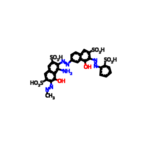 CN=Nc1c(S(=O)(=O)O)cc2cc(S(=O)(=O)O)c(N=Nc3ccc4cc(S(=O)(=O)O)c(N=Nc5ccccc5S(=O)(=O)O)c(O)c4c3)c(N)c2c1O